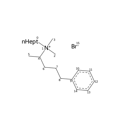 CCCCCCC[N+](C)(C)C(C)CCCc1ccccc1.[Br-]